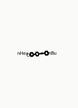 CCCCCCOc1ccc(C2CCC(C#Cc3ccc(CCCC)cc3)CC2)cc1